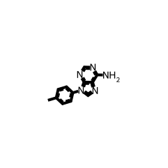 Cc1ccc(-n2cnc3c(N)ncnc32)cc1